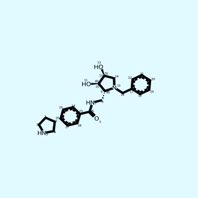 C1CCNC1.O=C(NC[C@@H]1[C@@H](O)[C@@H](O)CN1Cc1ccccc1)c1ccccc1